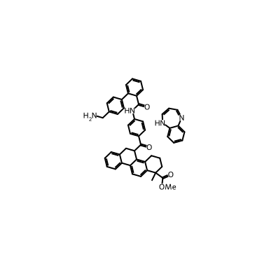 C1=CNc2ccccc2N=C1.COC(=O)C1(C)CCCc2c1ccc1c2C(C(=O)c2ccc(NC(=O)c3ccccc3-c3ccc(CN)cc3)cc2)Cc2ccccc2-1